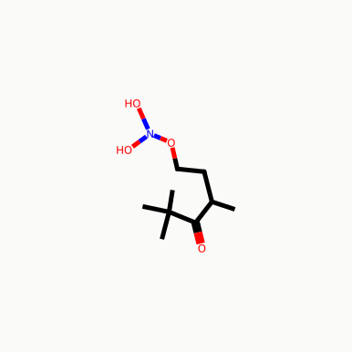 CC(CCON(O)O)C(=O)C(C)(C)C